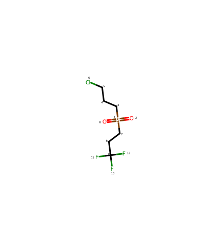 O=S(=O)(CCCCl)CCC(F)(F)F